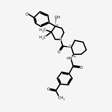 CC(=O)c1ccc(C(=O)N[C@@H]2CCCC[C@@H]2C(=O)N2CC[C@](O)(c3ccc(Cl)cc3)C(C)(C)C2)cc1